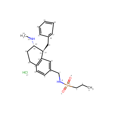 CCCS(=O)(=O)NCc1ccc2c(c1)[C@H](Cc1ccccc1)[C@@H](NC)CC2.Cl